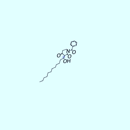 CCCCCCCCCCC/C(O)=C1\C(=O)CCN(C(=O)c2ccccc2)C1=O